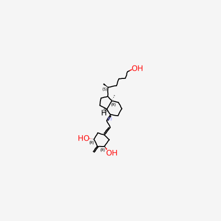 C=C1[C@H](O)CC(=C/C=C2\CCC[C@]3(C)C([C@@H](C)CCCCO)CC[C@@H]23)C[C@H]1O